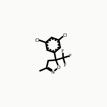 CC1=NOC(c2cc(Cl)cc(Cl)c2)(C(F)(F)F)C1